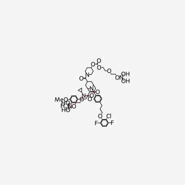 COc1ccc(CN(C(=O)C2=C(c3ccc(CCCOc4c(F)ccc(F)c4Cl)cc3)CC3CC(C(=O)N4CCC(OC(=O)OCCOCCON(O)O)CC4)CC2N3C(=O)OCCOCCON(O)O)C2CC2)cc1C